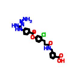 N=C(N=NN)Nc1ccc(C(=O)Oc2ccc(CCC(=O)NCc3cccc(C(=O)O)c3)c(Cl)c2)cc1